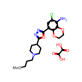 COCCCN1CCC(c2nnc(-c3cc(Cl)c(N)c4c3OCCO4)o2)CC1.O=C(O)C(=O)O